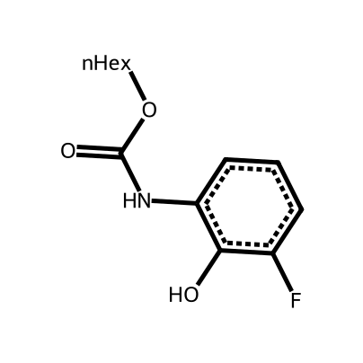 CCCCCCOC(=O)Nc1cccc(F)c1O